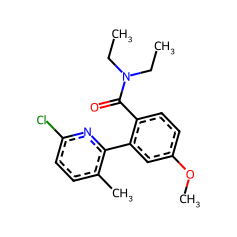 CCN(CC)C(=O)c1ccc(OC)cc1-c1nc(Cl)ccc1C